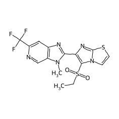 CCS(=O)(=O)c1c(-c2nc3cc(C(F)(F)F)ncc3n2C)nc2sccn12